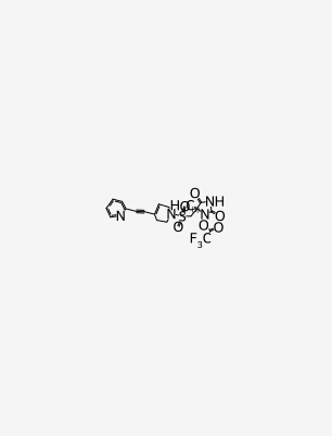 C[C@@]1(CS(=O)(=O)N2CC=C(C#Cc3ccccn3)CC2)C(=O)NC(=O)N1OC(=O)C(F)(F)F